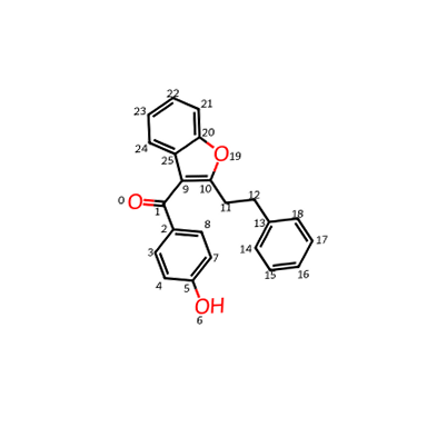 O=C(c1ccc(O)cc1)c1c(CCc2ccccc2)oc2ccccc12